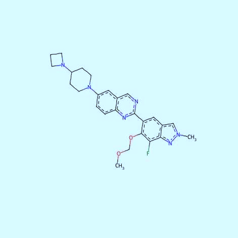 COCOc1c(-c2ncc3cc(N4CCC(N5CCC5)CC4)ccc3n2)cc2cn(C)nc2c1F